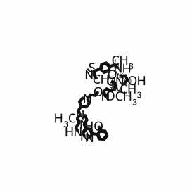 CC1=C2CNc3nnc(-c4ccccc4O)cc3N2CCN1CC1CCN(CCOc2cc([C@H](C(=O)N3C[C@H](O)C[C@H]3C(=O)N[C@@H](C)c3ccc(-c4scnc4C)cc3)C(C)C)on2)CC1